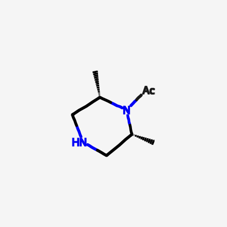 CC(=O)N1[C@H](C)CNC[C@@H]1C